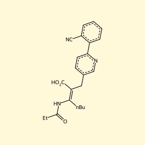 CCCC/C(NC(=O)CC)=C(\Cc1ccc(-c2ccccc2C#N)nc1)C(=O)O